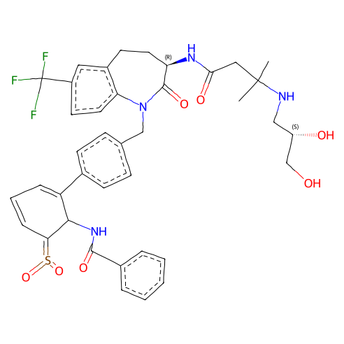 CC(C)(CC(=O)N[C@@H]1CCc2cc(C(F)(F)F)ccc2N(Cc2ccc(C3=CC=CC(=S(=O)=O)C3NC(=O)c3ccccc3)cc2)C1=O)NC[C@H](O)CO